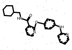 O=C(NCC1CCCCC1)c1cccnc1Oc1ccc(Nc2ccccn2)cc1